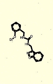 CCOc1ccccc1CNC(=O)NCc1noc2ccccc12